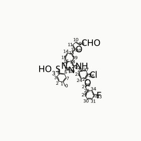 Cc1ccc(S(=O)(=O)O)cc1.O=Cc1ccc(-c2ccc3ncnc(Nc4ccc(OCc5cccc(F)c5)c(Cl)c4)c3c2)o1